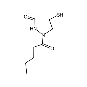 CCCCC(=O)N(CCS)NC=O